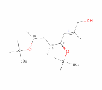 C/C(=C\[C@@H](O[Si](C)(C)C(C)(C)C)[C@H](C)C[C@@H](C)O[Si](C)(C)C(C)(C)C)CO